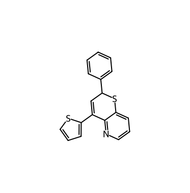 C1=C(c2cccs2)c2ncccc2SC1c1ccccc1